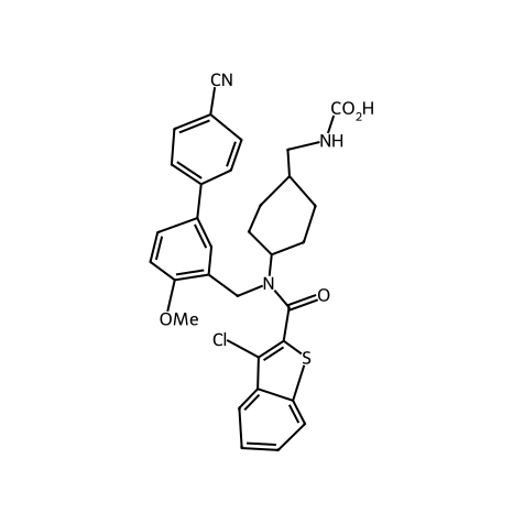 COc1ccc(-c2ccc(C#N)cc2)cc1CN(C(=O)c1sc2ccccc2c1Cl)C1CCC(CNC(=O)O)CC1